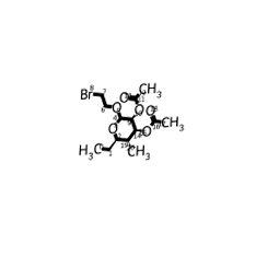 CC[C@H]1OC(OCCBr)[C@@H](OC(C)=O)[C@@H](OC(C)=O)[C@@H]1C